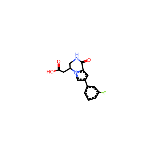 O=C(O)CC1CNC(=O)c2cc(-c3cccc(F)c3)cn21